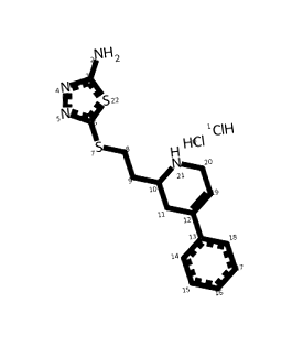 Cl.Cl.Nc1nnc(SCCC2CC(c3ccccc3)=CCN2)s1